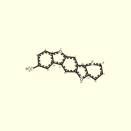 Cc1ccc2oc3cc4c(cc3c2c1)oc1ccccc14